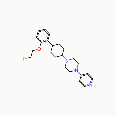 FCCOc1ccccc1C1CCC(N2CCN(c3ccncc3)CC2)CC1